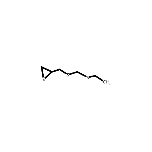 CCSCSCC1CS1